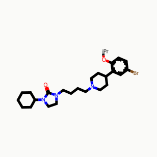 CC(C)Oc1ccc(Br)cc1C1CCN(CCCCN2CCN(C3CCCCC3)C2=O)CC1